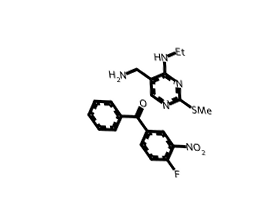 CCNc1nc(SC)ncc1CN.O=C(c1ccccc1)c1ccc(F)c([N+](=O)[O-])c1